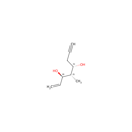 C#CC[C@H](O)[C@H](C)[C@H](O)C=C